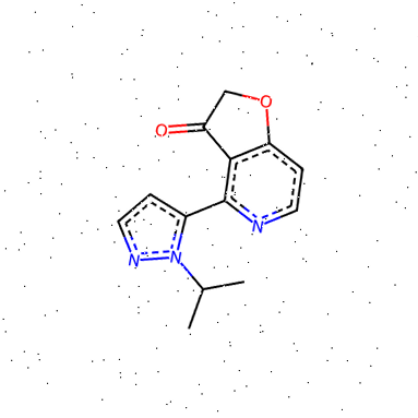 CC(C)n1nccc1-c1nccc2c1C(=O)CO2